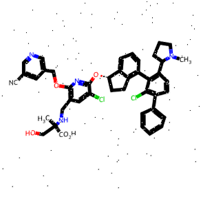 CN1CCCC1c1ccc(-c2ccccc2)c(Cl)c1-c1cccc2c1CC[C@@H]2Oc1nc(OCc2cncc(C#N)c2)c(CNC(C)(CO)C(=O)O)cc1Cl